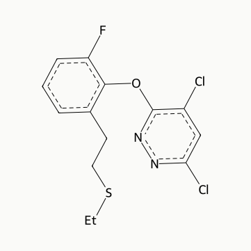 CCSCCc1cccc(F)c1Oc1nnc(Cl)cc1Cl